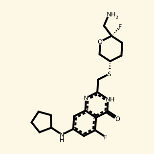 NC[C@@]1(F)CC[C@H](SCc2nc3cc(NC4CCCC4)cc(F)c3c(=O)[nH]2)CO1